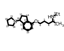 CCNC(C)CCCOc1cccc2c1CCC2N1CCCC1